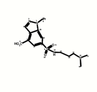 CC(C)n1ncc2c(C(=O)O)cc(S(=O)(=O)NCCCN(C)C)cc21